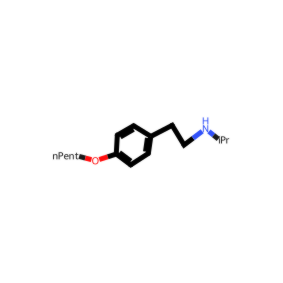 CCCCCOc1ccc(CCNC(C)C)cc1